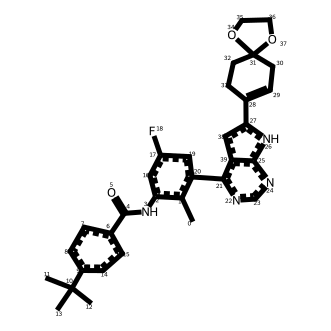 Cc1c(NC(=O)c2ccc(C(C)(C)C)cc2)cc(F)cc1-c1ncnc2[nH]c(C3=CCC4(CC3)OCCO4)cc12